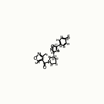 Cc1noc(C)c1C(=O)N1CCC[C@H](c2noc(-c3ccc(F)cc3)n2)C1